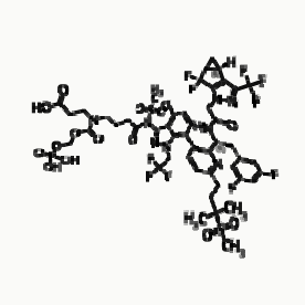 CC(C)(CCc1ccc(-c2ccc(Cl)c3c(N(C(=O)CCCN(CCC(=O)O)C(=O)OCOP(=O)(O)O)S(C)(=O)=O)nn(CC(F)(F)F)c23)c([C@H](Cc2cc(F)cc(F)c2)NC(=O)Cn2nc(C(F)(F)F)c3c2C(F)(F)C2C[C@H]32)n1)S(C)(=O)=O